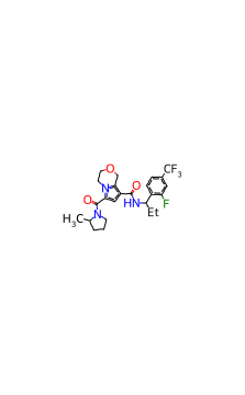 CC[C@@H](NC(=O)c1cc(C(=O)N2CCCC2C)n2c1COCC2)c1ccc(C(F)(F)F)cc1F